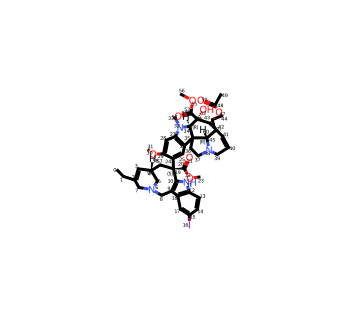 CCC1=C[C@H]2CN(C1)Cc1c([nH]c3ccc(I)cc13)[C@@](C(=O)OC)(c1cc3c(cc1OC)N(C)[C@@H]1C34CCN3CC=C[C@](CC)([C@H]34)[C@@H](OC(C)=O)[C@]1(O)C(=O)OC)C2